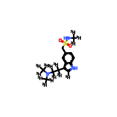 [2H]c1[nH]c2ccc(CS(=O)(=O)NC([2H])([2H])[2H])cc2c1C([2H])([2H])C([2H])([2H])N(C([2H])([2H])[2H])C([2H])([2H])[2H]